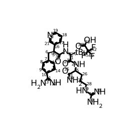 CC(C)(C)[C@H](NC(=O)[C@@H](Cc1ccc(C(=N)N)cc1)c1cccnc1)C(=O)NC(CCCNC(=N)N)C(N)=O.O=C(O)C(F)(F)F